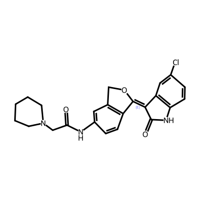 O=C(CN1CCCCC1)Nc1ccc2c(c1)CO/C2=C1/C(=O)Nc2ccc(Cl)cc21